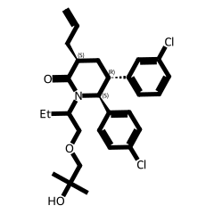 C=CC[C@H]1C[C@H](c2cccc(Cl)c2)[C@@H](c2ccc(Cl)cc2)N(C(CC)COCC(C)(C)O)C1=O